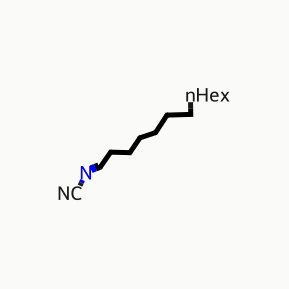 CCCCCCCCCCCCC=NC#N